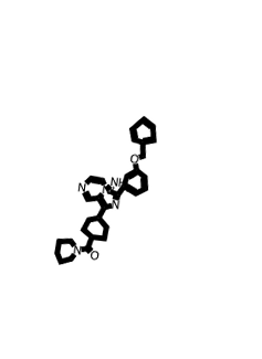 N[N+]12C=CN=CC1=C(C1CCC(C(=O)N3CCCCC3)CC1)N=C2c1cccc(OCc2ccccc2)c1